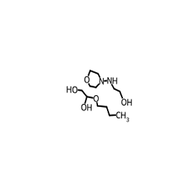 CCCCOC(O)CO.OCCNN1CCOCC1